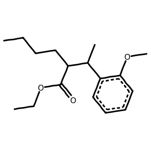 CCCCC(C(=O)OCC)C(C)c1ccccc1OC